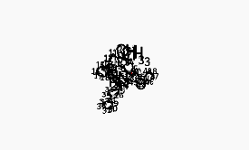 CC1(C)c2ccccc2-c2c1ccc1c3ccccc3n(-c3nc(-c4ccc(-c5ccccc5)cc4)nc(-c4ccc5c(c4)oc4ccccc45)n3)c21